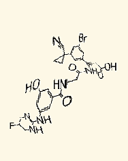 N#CC1(c2cc(Br)cc([C@H](CC(=O)O)NC(=O)CNC(=O)c3cc(O)cc(NC4=NCC(F)CN4)c3)c2)CC1